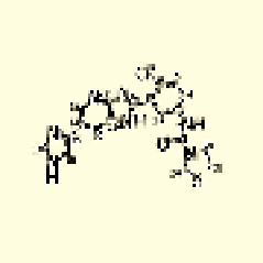 O=C(Nc1ccc(Cl)c(-c2nc3ncc(-c4c[nH]cn4)cc3[nH]2)c1)N1CCCC1